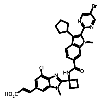 Cn1c(-c2ncc(Br)cn2)c(C2CCCC2)c2ccc(C(=O)NC3(c4nc5c(Cl)cc(/C=C/C(=O)O)cc5n4C)CCC3)cc21